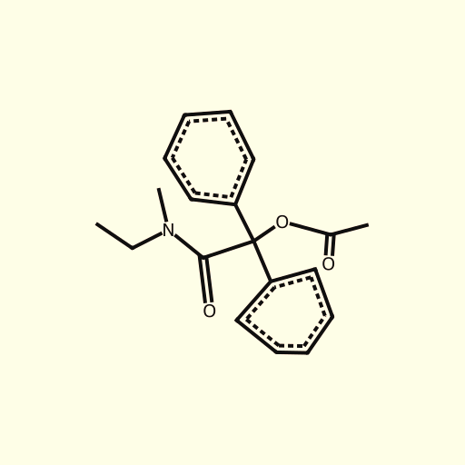 CCN(C)C(=O)C(OC(C)=O)(c1ccccc1)c1ccccc1